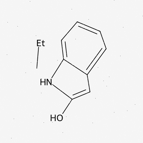 CCC.Oc1cc2ccccc2[nH]1